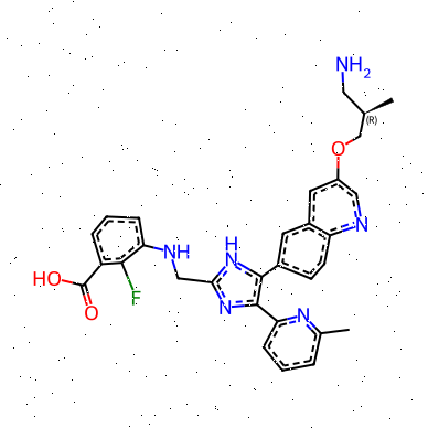 Cc1cccc(-c2nc(CNc3cccc(C(=O)O)c3F)[nH]c2-c2ccc3ncc(OC[C@H](C)CN)cc3c2)n1